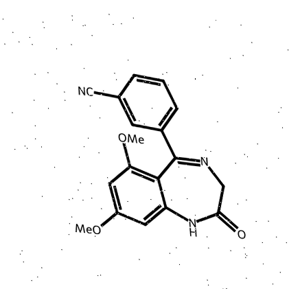 COc1cc2c(c(OC)c1)C(c1cccc(C#N)c1)=NCC(=O)N2